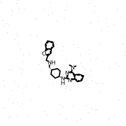 CN(C)c1nc(N[C@H]2CC[C@@H](CNCc3cc4ccccc4o3)CC2)nc2ccccc12